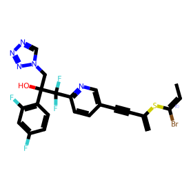 C=C(C#Cc1ccc(C(F)(F)C(O)(Cn2cnnn2)c2ccc(F)cc2F)nc1)S/C(Br)=C\C